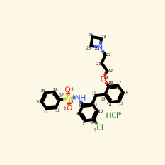 Cl.O=S(=O)(Nc1ccc(Cl)cc1Cc1ccccc1OCCCN1CCC1)c1ccccc1